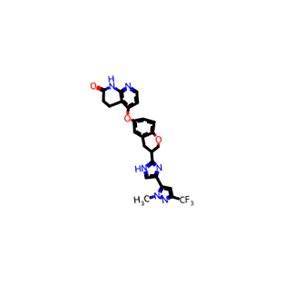 Cn1nc(C(F)(F)F)cc1-c1c[nH]c(C2COc3ccc(Oc4ccnc5c4CCC(=O)N5)cc3C2)n1